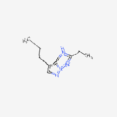 CCCc1cnn2nc(CC)[nH]c12